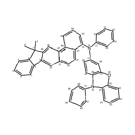 CC1(C)c2ccccc2-c2cc3ccc4c(N(c5ccccc5)c5ccc6c(c5)Oc5ccccc5N6c5ccccc5)cccc4c3cc21